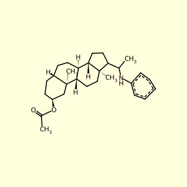 CC(=O)O[C@H]1CC[C@@H]2CC[C@@H]3[C@H](CC[C@]4(C)C(C(C)Nc5ccccc5)CC[C@@H]34)[C@@]2(C)C1